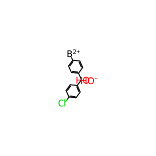 [B+2]c1ccc(Cc2ccc(Cl)cc2)cc1.[OH-].[OH-]